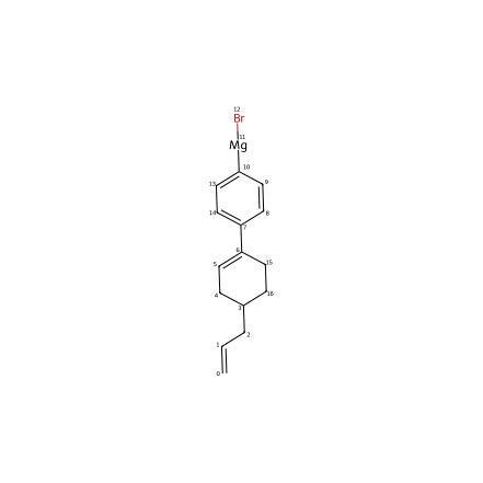 C=CCC1CC=C(c2cc[c]([Mg][Br])cc2)CC1